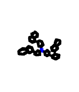 c1cc(-c2ccc3ccccc3c2)cc(N(c2ccc(-c3ccccc3-c3ccc4ccccc4c3)cc2)c2cccc(-c3cccc4ccccc34)c2)c1